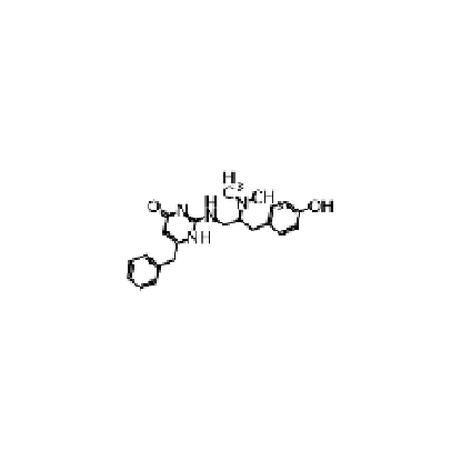 CN(C)C(CNc1nc(=O)cc(Cc2ccccc2)[nH]1)Cc1ccc(O)cc1